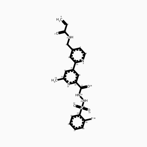 C=CC(=O)NCc1ccnc(-c2cc(C)nc(C(=O)NNS(=O)(=O)c3ccccc3F)c2)c1